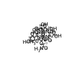 C[C@H](N)C(=O)N[C@@H](CCC(N)=O)C(=O)N[C@@H](CC(=O)O)C(=O)N[C@@H](CO)C(=O)N[C@@H](CO)C(=O)N[C@@H](Cc1ccc(O)cc1)C(=O)O